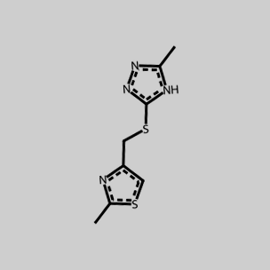 Cc1nnc(SCc2csc(C)n2)[nH]1